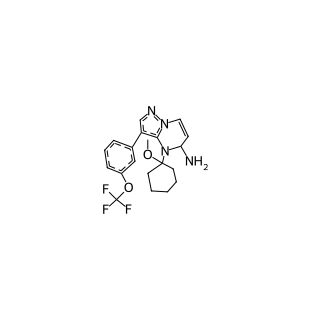 COC1(N2c3c(-c4cccc(OC(F)(F)F)c4)cnn3C=CC2N)CCCCC1